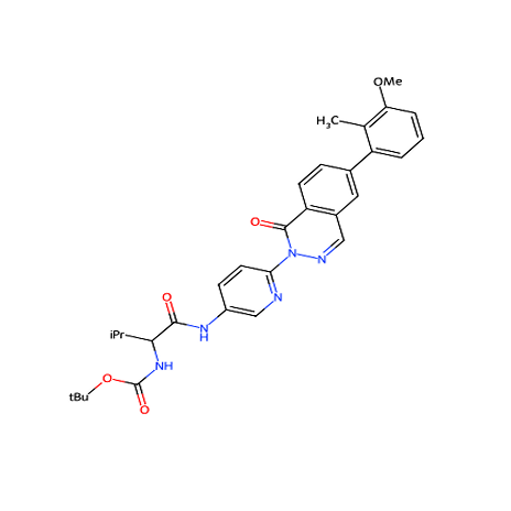 COc1cccc(-c2ccc3c(=O)n(-c4ccc(NC(=O)C(NC(=O)OC(C)(C)C)C(C)C)cn4)ncc3c2)c1C